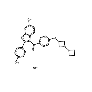 Cl.O=C(c1ccc(OC2CN(C3CCC3)C2)cc1)c1c(-c2ccc(O)cc2)sc2cc(O)ccc12